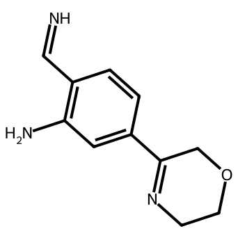 N=Cc1ccc(C2=NCCOC2)cc1N